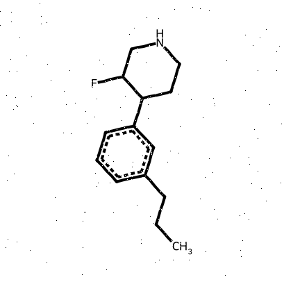 CCCc1cccc(C2CCNCC2F)c1